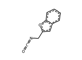 O=C=NCc1cc2ccccc2o1